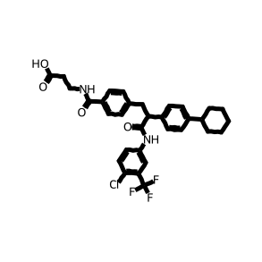 O=C(O)CCNC(=O)c1ccc(CC(C(=O)Nc2ccc(Cl)c(C(F)(F)F)c2)c2ccc(C3CCCCC3)cc2)cc1